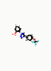 Oc1ccccc1-n1cc(-c2ccc(OC(F)(F)F)cc2)nn1